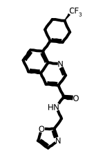 O=C(NCc1ncco1)c1cnc2c(C3=CC[C@H](C(F)(F)F)CC3)cccc2c1